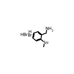 Br.Br.[CH3][Sn][c]1ccccc1CN